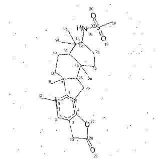 Cc1cc2c(c3c1C1(C)CCC4C(C)(C)C(NS(C)(=O)=O)CCC4(C)C1C3)OC(=O)C2